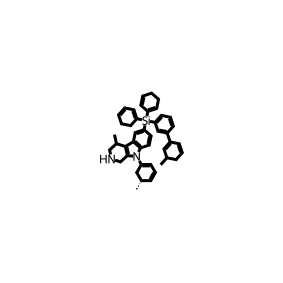 CC1C=C(c2cccc([Si](C3=CCCC=C3)(C3=CC=CCC3)c3ccc4c(c3)c3c(n4C4=CC=C[C@H](C)C4)CNCC3C)c2)C=CC1